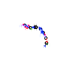 N#Cc1ccc(O[C@H]2CC[C@H](NC(=O)c3ccc(N4CCN(C[C@@H]5C[C@@H]6CN(c7cc8c(cc7F)C(=O)N(C7CCC(=O)NC7=O)C8=O)C[C@@H]6C5)CC4)nn3)CC2)cc1Cl